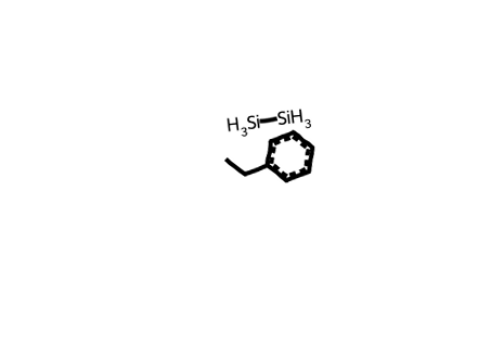 CCc1ccccc1.[SiH3][SiH3]